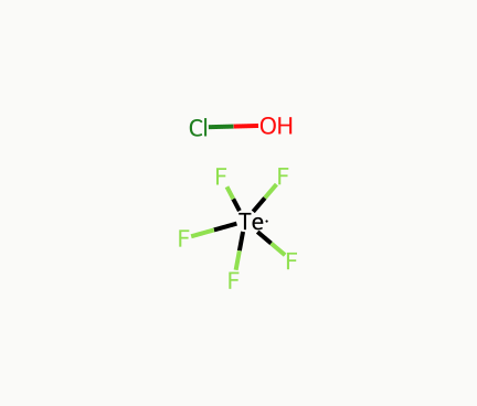 F[Te](F)(F)(F)F.OCl